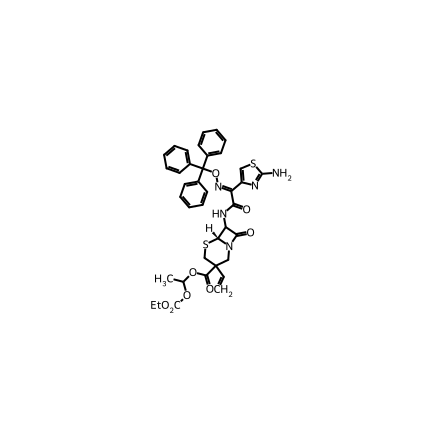 C=CC1(C(=O)OC(C)OC(=O)OCC)CS[C@@H]2C(NC(=O)C(=NOC(c3ccccc3)(c3ccccc3)c3ccccc3)c3csc(N)n3)C(=O)N2C1